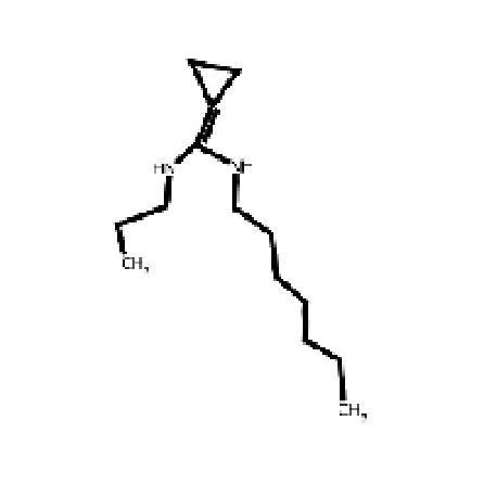 CCCCCCCNC(NCCC)=C1CC1